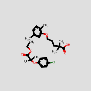 CCOC(=O)C(C)(C)Oc1ccc(Cl)cc1.Cc1ccc(C)c(OCCCC(C)(C)C(=O)O)c1